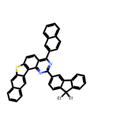 CCC1(CC)c2ccccc2-c2cc(-c3nc(-c4ccc5ccccc5c4)c4ccc5sc6cc7ccccc7cc6c5c4n3)ccc21